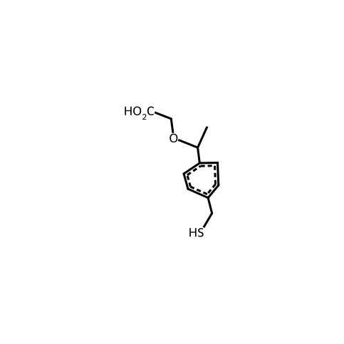 CC(OCC(=O)O)c1ccc(CS)cc1